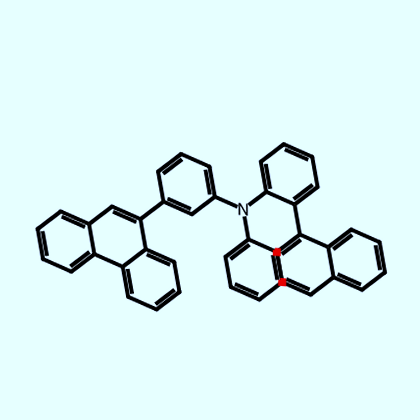 c1ccc(N(c2cccc(-c3cc4ccccc4c4ccccc34)c2)c2ccccc2-c2cccc3ccccc23)cc1